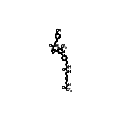 N#Cc1ccc(CCNC(=O)[C@@H]2CCN2c2cc(N3CCC(CCNC(=O)NCCOCCNC(=O)C(F)(F)F)CC3)nc(C(F)(F)F)n2)cc1